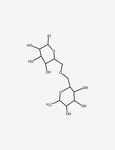 CCC1OC(COCC2OC(C)C(O)C(O)C2O)C(O)C(O)C1O